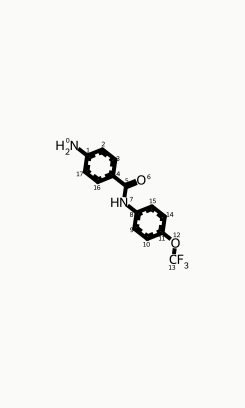 Nc1ccc(C(=O)Nc2ccc(OC(F)(F)F)cc2)cc1